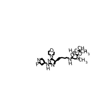 CN(CC(=O)NCCCC#Cc1cnc(Nc2ccnc(F)c2)nc1N1CCOCC1)C(=O)OC(C)(C)C